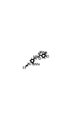 CCC#CCOc1ccc(CCNC(=O)C(=NSC)c2ccc(Cl)c(Cl)c2)cc1OC